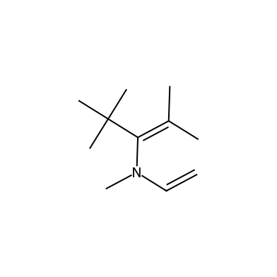 C=CN(C)C(=C(C)C)C(C)(C)C